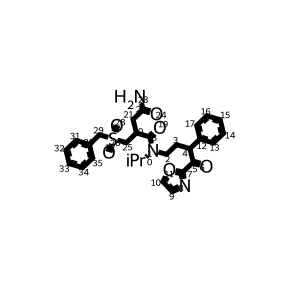 CC(C)N(CCC(C(=O)c1ncco1)c1ccccc1)C(=O)C(CC(N)=O)CS(=O)(=O)Cc1ccccc1